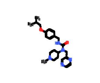 CC(C)COc1ccc(CNC(=O)N(Cc2cnccn2)C2CCN(C)CC2)cc1